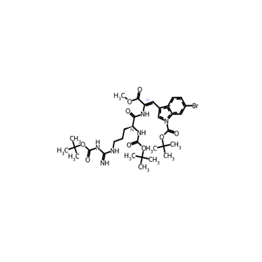 COC(=O)/C(=C/c1cn(C(=O)OC(C)(C)C)c2cc(Br)ccc12)NC(=O)[C@H](CCCNC(=N)NC(=O)OC(C)(C)C)NC(=O)OC(C)(C)C